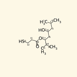 CC(C)CC(O)CC(OC(=O)CCS)C(C)C